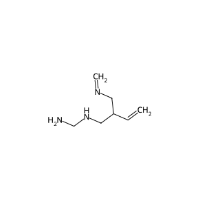 C=CC(CN=C)CNCN